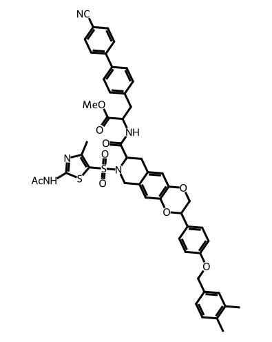 COC(=O)C(Cc1ccc(-c2ccc(C#N)cc2)cc1)NC(=O)C1Cc2cc3c(cc2CN1S(=O)(=O)c1sc(NC(C)=O)nc1C)OC(c1ccc(OCc2ccc(C)c(C)c2)cc1)CO3